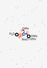 COC(=O)C[C@@H]1C[C@H](OS(=O)(=O)c2ccc(C)cc2)CN1C(=O)c1cc(OC)c(OC)c(OC)c1